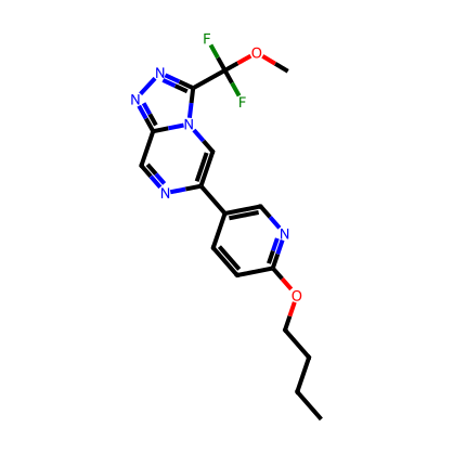 CCCCOc1ccc(-c2cn3c(C(F)(F)OC)nnc3cn2)cn1